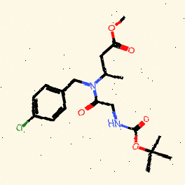 COC(=O)CC(C)N(Cc1ccc(Cl)cc1)C(=O)CNC(=O)OC(C)(C)C